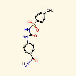 Cc1ccc(S(=O)(=O)NC(=O)Nc2ccc(C(N)=O)cc2)cc1